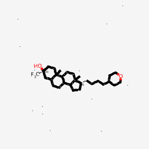 CC12CC[C@@](O)(C(F)(F)F)CC1CCC1C2CCC2(C)C1CC[C@H]2CCCCC1CCOCC1